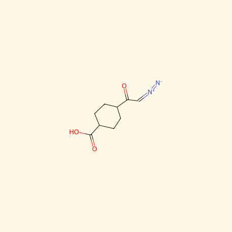 [N-]=[N+]=CC(=O)C1CCC(C(=O)O)CC1